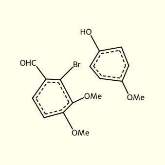 COc1ccc(C=O)c(Br)c1OC.COc1ccc(O)cc1